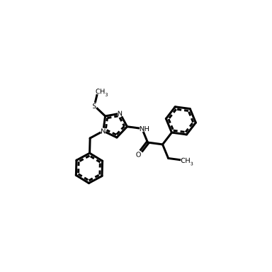 CCC(C(=O)Nc1cn(Cc2ccccc2)c(SC)n1)c1ccccc1